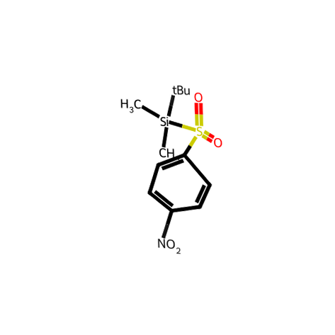 CC(C)(C)[Si](C)(C)S(=O)(=O)c1ccc([N+](=O)[O-])cc1